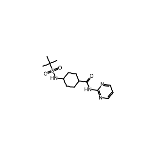 CC(C)(C)S(=O)(=O)NC1CCC(C(=O)Nc2ncccn2)CC1